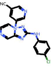 N#Cc1cncc([N+]23C=CN=CC2=NC(Nc2ccc(Cl)cc2)=N3)c1